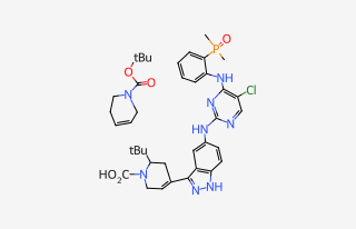 CC(C)(C)C1CC(c2n[nH]c3ccc(Nc4ncc(Cl)c(Nc5ccccc5P(C)(C)=O)n4)cc23)=CCN1C(=O)O.CC(C)(C)OC(=O)N1CC=CCC1